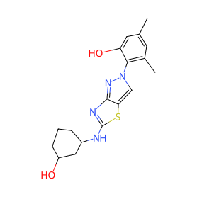 Cc1cc(C)c(-n2cc3sc(NC4CCCC(O)C4)nc3n2)c(O)c1